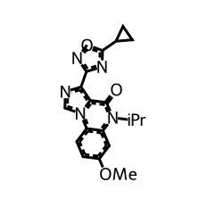 COc1ccc2c(c1)n(C(C)C)c(=O)c1c(-c3noc(C4CC4)n3)ncn12